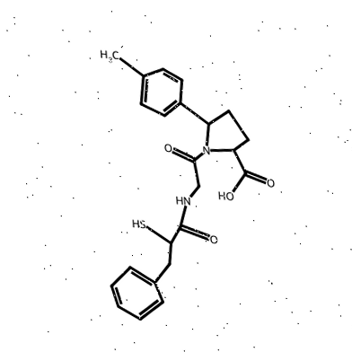 Cc1ccc(C2CCC(C(=O)O)N2C(=O)CNC(=O)C(S)Cc2ccccc2)cc1